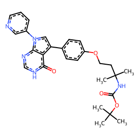 CC(C)(CCOc1ccc(-c2cn(-c3cccnc3)c3nc[nH]c(=O)c23)cc1)NC(=O)OC(C)(C)C